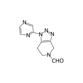 O=CN1CCc2c(nnn2-c2cnccn2)C1